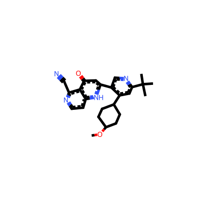 COC1CCC(c2cc(C(C)(C)C)ncc2-c2cc(=O)c3c(C#N)nccc3[nH]2)CC1